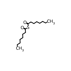 CCCCCCCC(=O)SC(=O)CCCCCCC